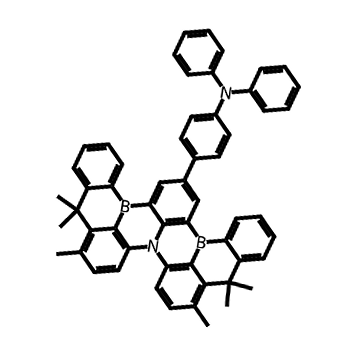 Cc1ccc2c3c1C(C)(C)c1ccccc1B3c1cc(-c3ccc(N(c4ccccc4)c4ccccc4)cc3)cc3c1N2c1ccc(C)c2c1B3c1ccccc1C2(C)C